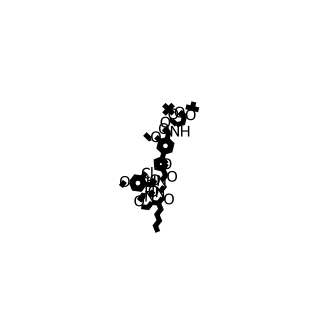 CCCCCC(C(=O)NCNC(=O)c1ccc(-c2ccc(C(=O)NC(CC(=O)OC(C)(C)C)C(=O)OC(C)(C)C)c(OCC)c2)o1)C(CC)N(C=O)OC(=O)c1ccc(OC)cc1Cl